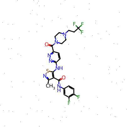 Cc1nsc(Nc2ccc(C(=O)N3CCN(CCC(F)(F)F)CC3)nn2)c1C(=O)Nc1ccc(F)c(F)c1